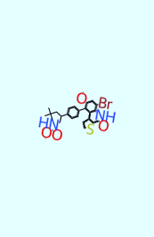 COC(=O)NCC(CC(C)(C)C)c1ccc(-c2c(OC)cc(Br)c3[nH]c(=O)c4sccc4c23)cc1